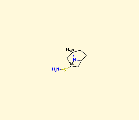 CCN1C2CC[C@H]1CC(SN)C2